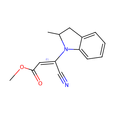 COC(=O)/C=C(\C#N)N1c2ccccc2CC1C